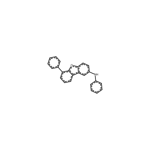 c1ccc(Nc2ccc3oc4c(-c5ccccc5)cccc4c3c2)cc1